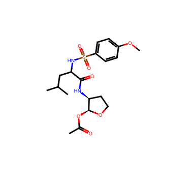 COc1ccc(S(=O)(=O)NC(CC(C)C)C(=O)N[C@H]2CCO[C@H]2OC(C)=O)cc1